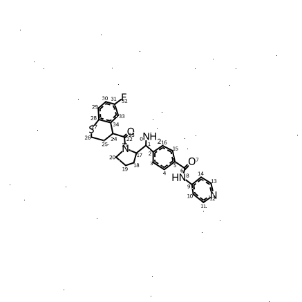 NC(c1ccc(C(=O)Nc2ccncc2)cc1)C1CCCN1C(=O)C1CCSc2ccc(F)cc21